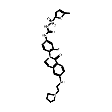 Cc1ccc(S(=O)(=O)NC(=O)Nc2ccc(-n3ccc4cc(NCCN5CCCC5)ccc4c3=O)c(F)c2)s1